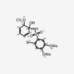 COc1cc(Br)c(S(=O)(=O)NC2(O)C=CC=CC2C(=O)O)cc1OC